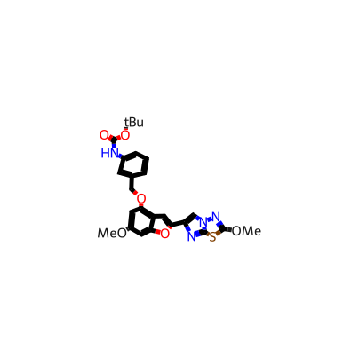 COc1cc(OCc2cccc(NC(=O)OC(C)(C)C)c2)c2cc(-c3cn4nc(OC)sc4n3)oc2c1